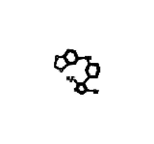 Cn1ncc(Br)c1-c1cccc(Nc2ccc3c(c2)OCO3)c1